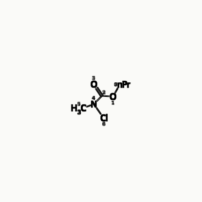 CCCOC(=O)N(C)Cl